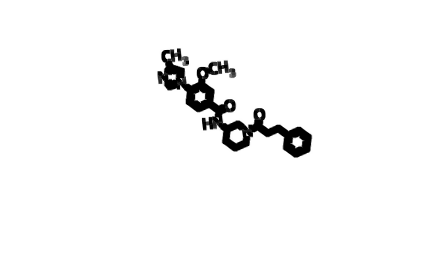 COc1cc(C(=O)NC2CCCN(C(=O)CCc3ccccc3)C2)ccc1-n1cnc(C)c1